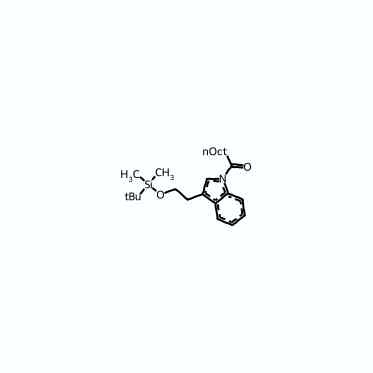 CCCCCCCCC(=O)n1cc(CCO[Si](C)(C)C(C)(C)C)c2ccccc21